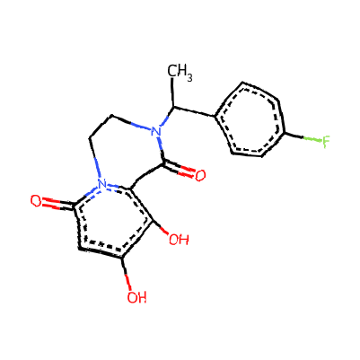 CC(c1ccc(F)cc1)N1CCn2c(c(O)c(O)cc2=O)C1=O